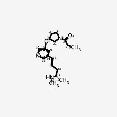 CCC(=O)N1CC[C@@H](Oc2cncc(C=CC[C@H](C)NC)c2)C1